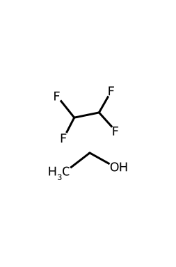 CCO.FC(F)C(F)F